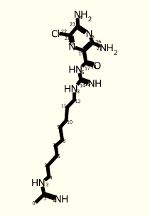 CC(=N)NCCCCCCCCCNC(=N)NC(=O)c1nc(Cl)c(N)nc1N